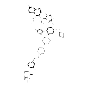 Cc1ccc2c(P(C)(C)=O)c(Nc3nc(Nc4cc(-c5cnn(C)c5)c(N5CCC(N6CCN(CCc7cc(F)c([C@H]8CCC(=O)NC8=O)c(F)c7)CC6)CC5)cc4OC4CCC4)ncc3Br)ccc2n1